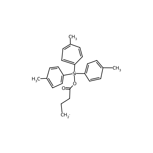 [CH2]CCC(=O)O[Si](c1ccc(C)cc1)(c1ccc(C)cc1)c1ccc(C)cc1